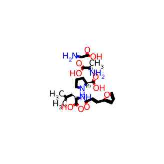 CC(C)C[C@H](NC(=O)C=Cc1ccco1)C(=O)O.C[C@H](N)C(=O)O.NCC(=O)O.O=C(O)[C@@H]1CCCN1